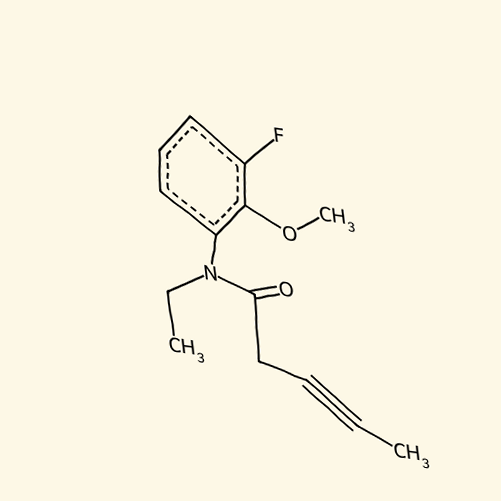 CC#CCC(=O)N(CC)c1cccc(F)c1OC